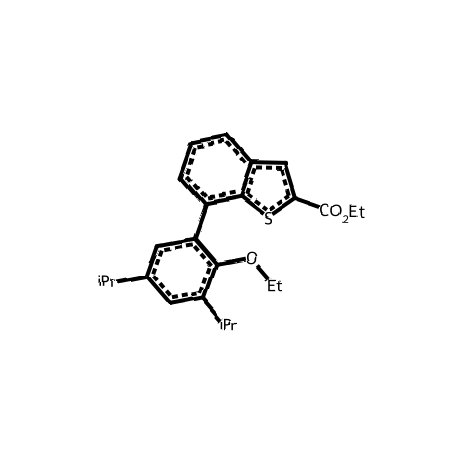 CCOC(=O)c1cc2cccc(-c3cc(C(C)C)cc(C(C)C)c3OCC)c2s1